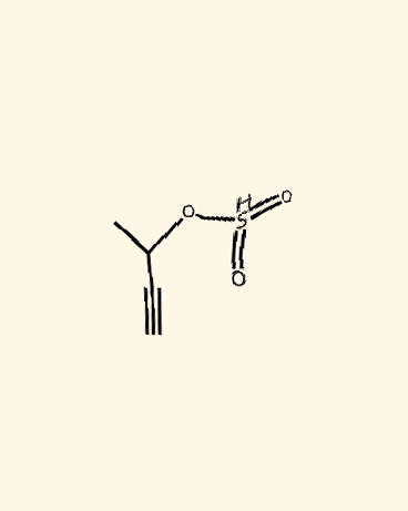 C#CC(C)O[SH](=O)=O